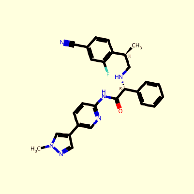 C[C@@H](CN[C@@H](C(=O)Nc1ccc(-c2cnn(C)c2)cn1)c1ccccc1)c1ccc(C#N)cc1F